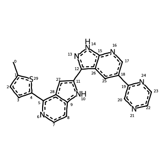 Cc1ccc(-c2nccc3[nH]c(-c4n[nH]c5ncc(-c6cnccn6)cc45)cc23)s1